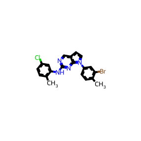 Cc1ccc(-n2ccc3cnc(Nc4cc(Cl)ccc4C)nc32)cc1Br